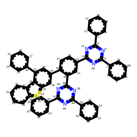 c1ccc(-c2nc(-c3ccccc3)nc(-c3ccc(-c4cc(-c5ccccc5)c5c(c4)sc4ccccc45)c(-c4nc(-c5ccccc5)nc(-c5ccccc5)n4)c3)n2)cc1